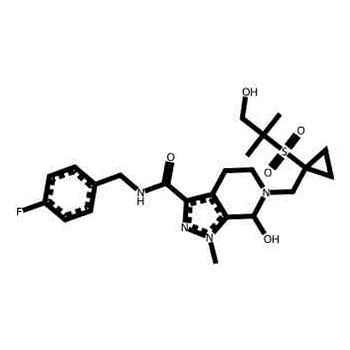 Cn1nc(C(=O)NCc2ccc(F)cc2)c2c1C(O)N(CC1(S(=O)(=O)C(C)(C)CO)CC1)CC2